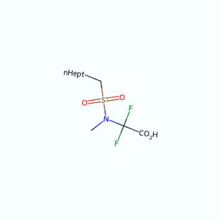 CCCCCCCCS(=O)(=O)N(C)C(F)(F)C(=O)O